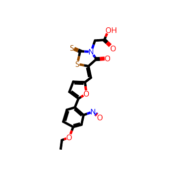 CCOc1ccc(-c2ccc(/C=C3\SC(=S)N(CC(=O)O)C3=O)o2)c(N=O)c1